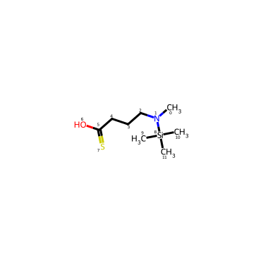 CN(CCCC(O)=S)[Si](C)(C)C